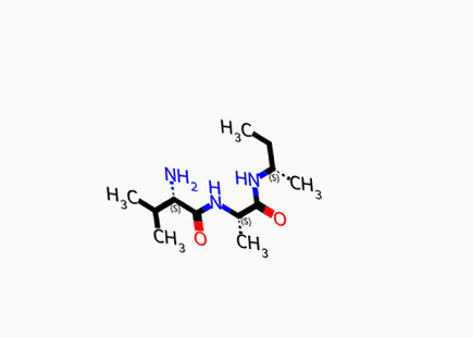 CC[C@H](C)NC(=O)[C@H](C)NC(=O)[C@@H](N)C(C)C